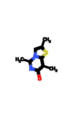 Cc1cn2c(C)nc(=O)c(C)c2s1